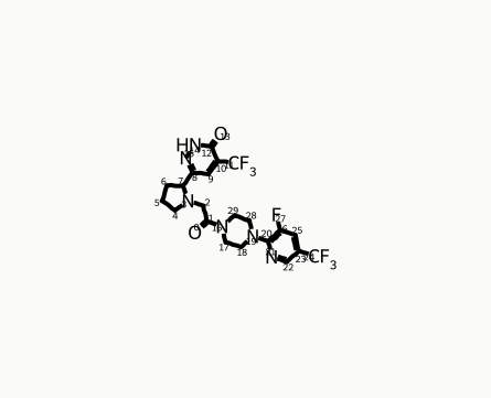 O=C(CN1CCCC1c1cc(C(F)(F)F)c(=O)[nH]n1)N1CCN(c2ncc(C(F)(F)F)cc2F)CC1